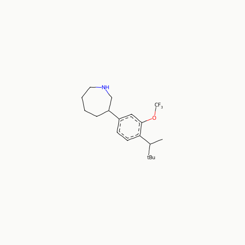 CC(c1ccc(C2CCCCNC2)cc1OC(F)(F)F)C(C)(C)C